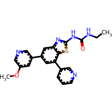 CCNC(=O)Nc1nc2cc(-c3cncc(OC)c3)cc(-c3cccnc3)c2s1